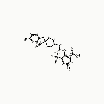 N#CC1(Cc2ccc(F)cc2)CCN(CC(=O)Oc2c(C(=O)O)cc(Cl)cc2C(F)(F)F)CC1